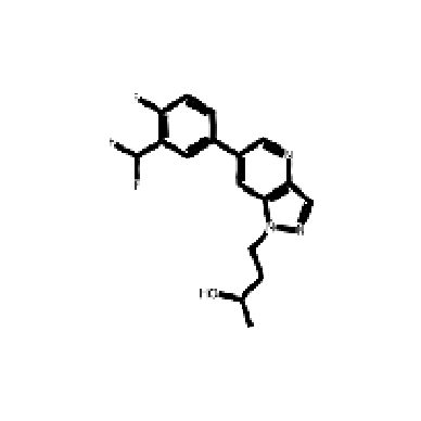 CC(O)CCn1ncc2ncc(-c3ccc(F)c(C(F)F)c3)cc21